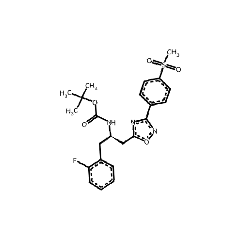 CC(C)(C)OC(=O)N[C@@H](Cc1nc(-c2ccc(S(C)(=O)=O)cc2)no1)Cc1ccccc1F